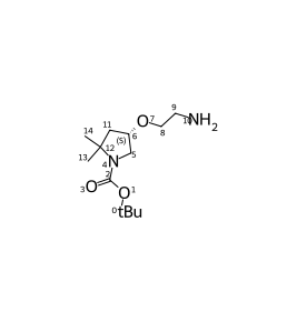 CC(C)(C)OC(=O)N1C[C@@H](OCCN)CC1(C)C